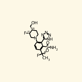 CC(F)(F)c1ccc(N2CC[C@H](CO)[C@H](F)C2)c(-c2nnn[nH]2)c1S(N)(=O)=O